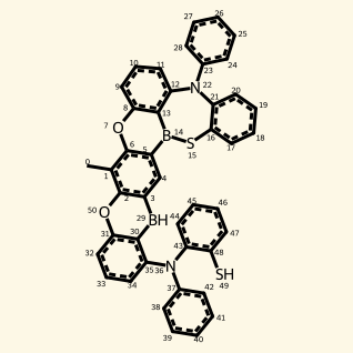 Cc1c2c(cc3c1Oc1cccc4c1B3Sc1ccccc1N4c1ccccc1)Bc1c(cccc1N(c1ccccc1)c1ccccc1S)O2